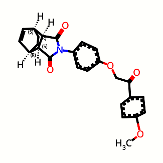 COc1ccc(C(=O)COc2ccc(N3C(=O)[C@@H]4[C@H](C3=O)[C@@H]3C=C[C@H]4CC3)cc2)cc1